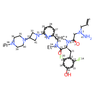 C=CCN(N)CC(=O)N(C=O)[C@@H](Cc1c(F)cc(O)cc1F)C(=O)N(CC)Cc1cccc(N2CC(N3CCN(C(C)C)CC3)C2)n1